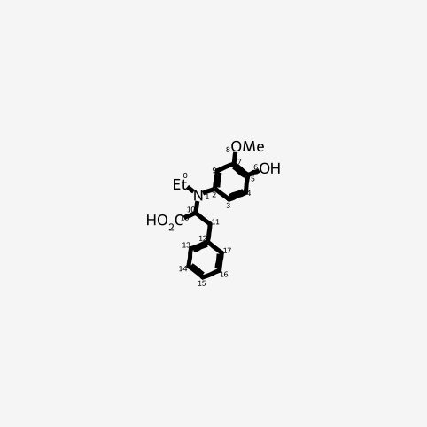 CCN(c1ccc(O)c(OC)c1)C(Cc1ccccc1)C(=O)O